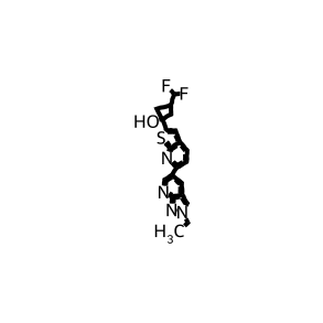 CCn1cc2cc(-c3ccc4cc(C5(O)CC(C(F)F)C5)sc4n3)cnc2n1